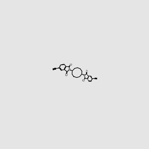 C#Cc1ccc2c(c1)C(=O)N(C1CCCCC(N3C(=O)c4ccc(C#C)cc4C3=O)CCCC1)C2=O